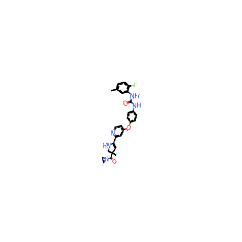 Cc1ccc(F)c(NC(=O)Nc2ccc(Oc3ccnc(C4=CC(C)(C(=O)N5CC5)CN4)c3)cc2)c1